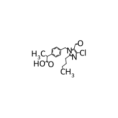 CCCCc1nc(Cl)c(C=O)n1Cc1ccc(C(C)C(=O)O)cc1